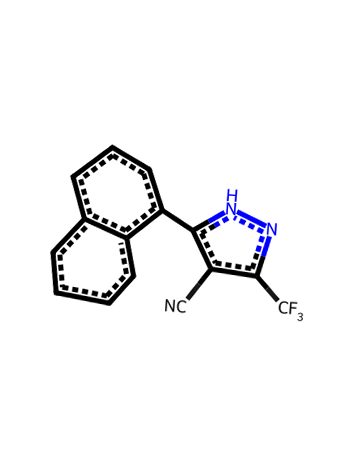 N#Cc1c(C(F)(F)F)n[nH]c1-c1cccc2ccccc12